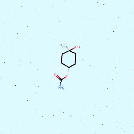 C[C@]1(O)CC[C@H](OC(N)=O)CC1